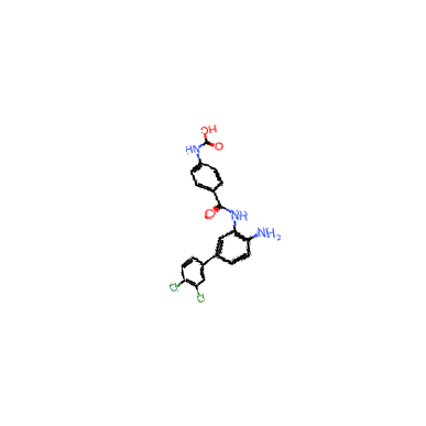 Nc1ccc(-c2ccc(Cl)c(Cl)c2)cc1NC(=O)c1ccc(NC(=O)O)cc1